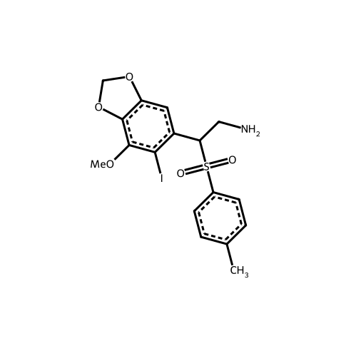 COc1c(I)c(C(CN)S(=O)(=O)c2ccc(C)cc2)cc2c1OCO2